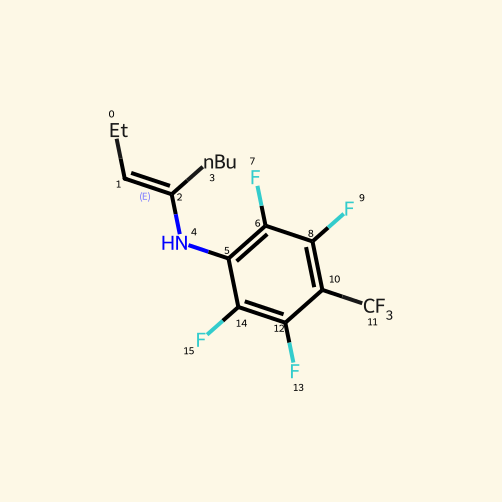 CC/C=C(\CCCC)Nc1c(F)c(F)c(C(F)(F)F)c(F)c1F